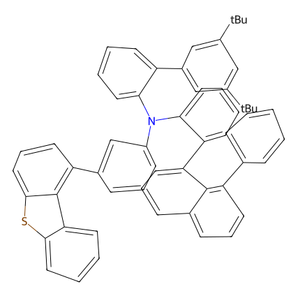 CC(C)(C)c1cc(-c2ccccc2N(c2cccc(-c3cccc4sc5ccccc5c34)c2)c2ccccc2-c2cccc3cccc(-c4ccccc4)c23)cc(C(C)(C)C)c1